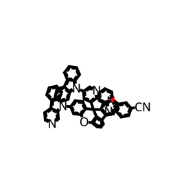 N#Cc1ccc2c(c1)c1ccccc1n2-c1cccc2c1C1(c3ccc(-n4c5ccccc5c5ccncc54)cc3O2)c2cccnc2-c2ncc(-n3c4ccccc4c4ccccc43)cc21